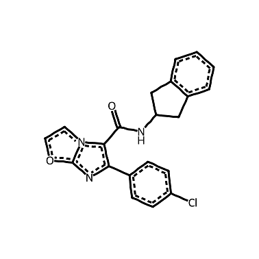 O=C(NC1Cc2ccccc2C1)c1c(-c2ccc(Cl)cc2)nc2occn12